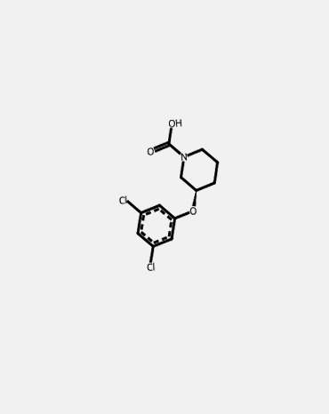 O=C(O)N1CCC[C@@H](Oc2cc(Cl)cc(Cl)c2)C1